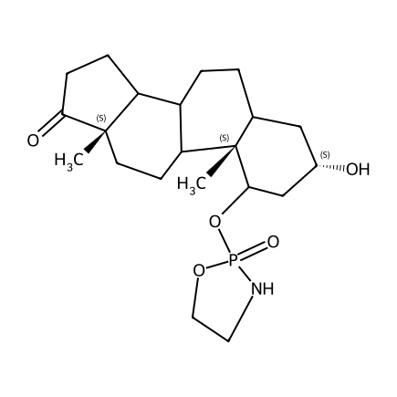 C[C@]12C(CCC3C1CC[C@]1(C)C(=O)CCC31)C[C@H](O)CC2OP1(=O)NCCO1